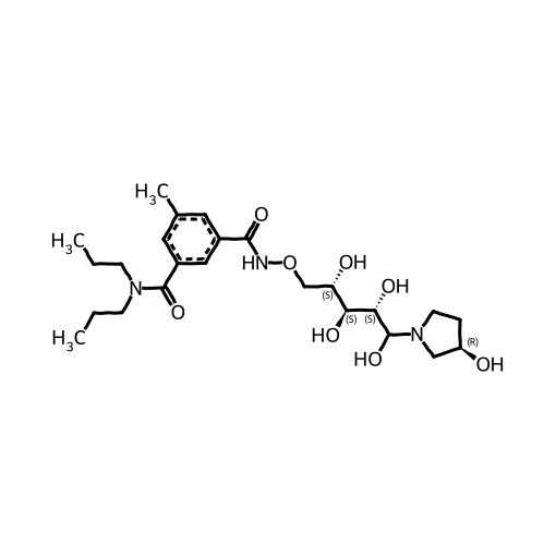 CCCN(CCC)C(=O)c1cc(C)cc(C(=O)NOC[C@H](O)[C@H](O)[C@H](O)C(O)N2CC[C@@H](O)C2)c1